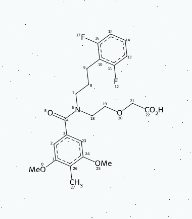 COc1cc(C(=O)N(CCCc2c(F)cccc2F)CCOCC(=O)O)cc(OC)c1C